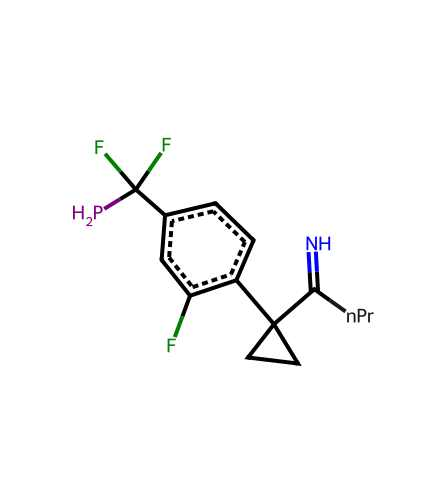 CCCC(=N)C1(c2ccc(C(F)(F)P)cc2F)CC1